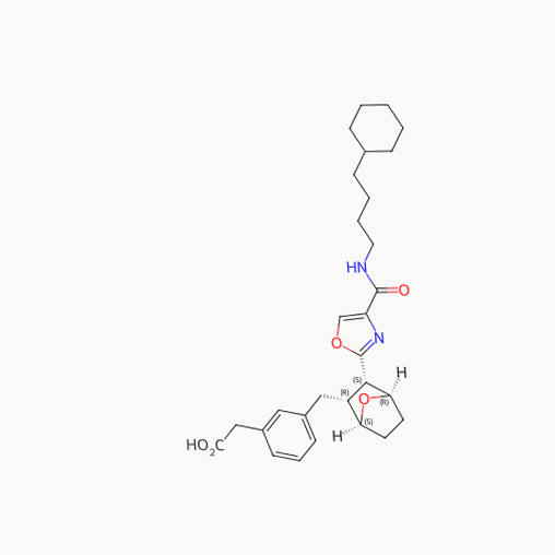 O=C(O)Cc1cccc(C[C@@H]2[C@H](c3nc(C(=O)NCCCCC4CCCCC4)co3)[C@H]3CC[C@@H]2O3)c1